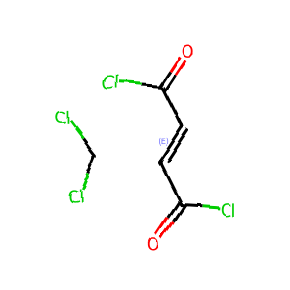 ClCCl.O=C(Cl)/C=C/C(=O)Cl